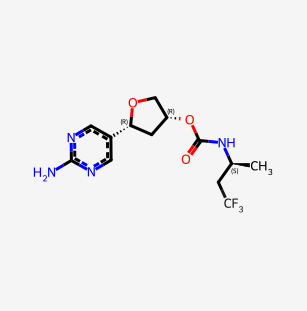 C[C@@H](CC(F)(F)F)NC(=O)O[C@H]1CO[C@@H](c2cnc(N)nc2)C1